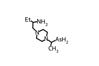 CCC(N)CN1CCN(C(C)[AsH2])CC1